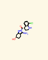 Nc1c2c(nn1C(=O)[C@H]1CCNc3c(Cl)cccc31)C[C@H](O)CC2